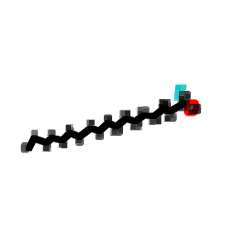 CCCCCCCCCCCCCCCC=CC(=O)F